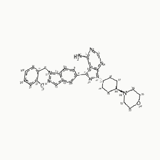 Nc1ncnc2c1c(-c1ccc3c(cnn3Cc3ccccc3Cl)c1)nn2[C@H]1CC[C@H](N2CCOCC2)CC1